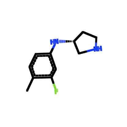 Cc1ccc(N[C@@H]2CCNC2)cc1F